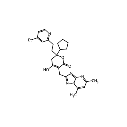 CCc1ccnc(CCC2(C3CCCC3)CC(O)=C(Cc3nc4nc(C)cc(C)n4n3)C(=O)O2)c1